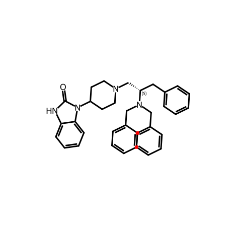 O=c1[nH]c2ccccc2n1C1CCN(C[C@H](Cc2ccccc2)N(Cc2ccccc2)Cc2ccccc2)CC1